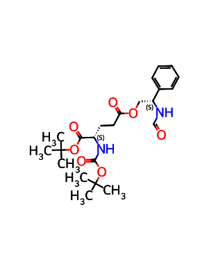 CC(C)(C)OC(=O)N[C@@H](CCC(=O)OC[C@@H](NC=O)c1ccccc1)C(=O)OC(C)(C)C